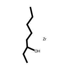 CCCCCC(O)CC.[Zr]